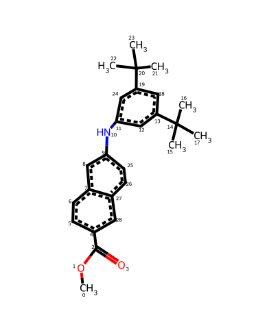 COC(=O)c1ccc2cc(Nc3cc(C(C)(C)C)cc(C(C)(C)C)c3)ccc2c1